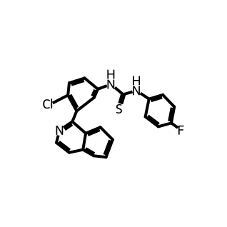 Fc1ccc(NC(=S)Nc2ccc(Cl)c(-c3nccc4ccccc34)c2)cc1